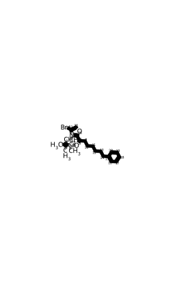 CC(C)(C)[Si](C)(C)OC(CCCCCCc1ccccc1)c1nc(Br)co1